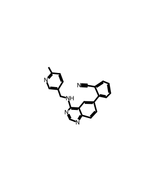 Cc1ccc(CNc2ncnc3ccc(-c4ccccc4C#N)cc23)cn1